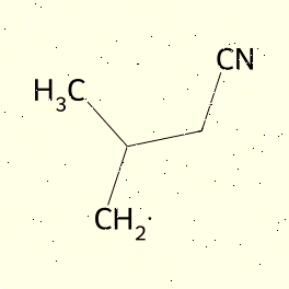 [CH2]C(C)CC#N